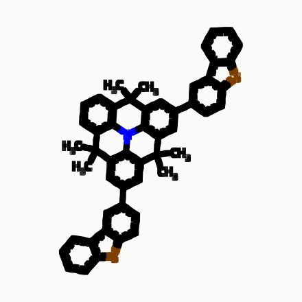 CC1(C)c2cccc3c2N2c4c1cc(-c1ccc5sc6ccccc6c5c1)cc4C(C)(C)c1cc(-c4ccc5sc6ccccc6c5c4)cc(c12)C3(C)C